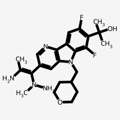 C/C(N)=C(\c1cnc2c3cc(F)c(C(C)(C)O)c(F)c3n(CC3CCOCC3)c2c1)N(C)N